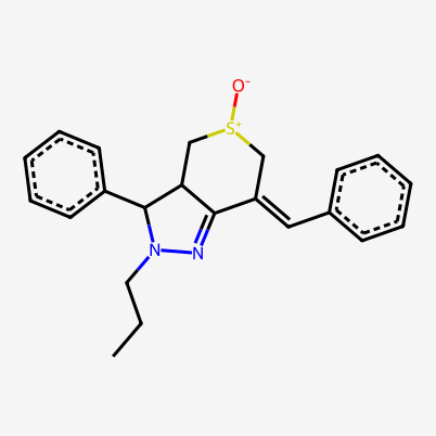 CCCN1N=C2C(=Cc3ccccc3)C[S+]([O-])CC2C1c1ccccc1